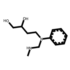 CNCN(CCC(O)CO)c1ccccc1